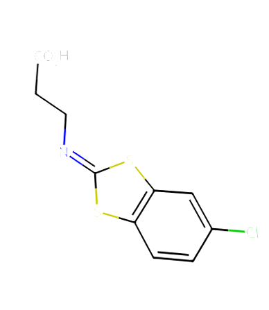 O=C(O)CCN=c1sc2ccc(Cl)cc2s1